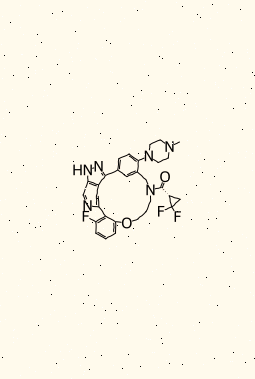 CN1CCN(c2ccc3cc2CN(C(=O)[C@@H]2CC2(F)F)CCCOc2cccc(F)c2-c2cc4c-3n[nH]c4cn2)CC1